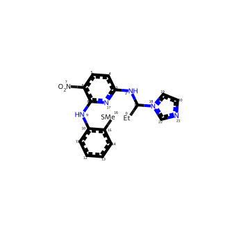 CCC(Nc1ccc([N+](=O)[O-])c(Nc2ccccc2SC)n1)n1ccnc1